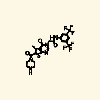 Cc1c(C(=O)N2CCNCC2)sc2ncn(CC(=O)Nc3cc(C(F)(F)F)cc(C(F)(F)F)c3)c(=O)c12